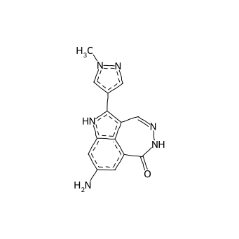 Cn1cc(-c2[nH]c3cc(N)cc4c3c2C=NNC4=O)cn1